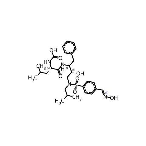 CC(C)C[C@H](NC(=O)O)C(=O)N[C@@H](Cc1ccccc1)[C@H](O)CN(CC(C)C)S(=O)(=O)c1ccc(/C=N/O)cc1